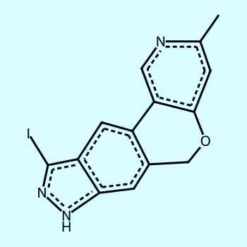 Cc1cc2c(cn1)-c1cc3c(I)n[nH]c3cc1CO2